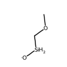 COC[SiH2][O]